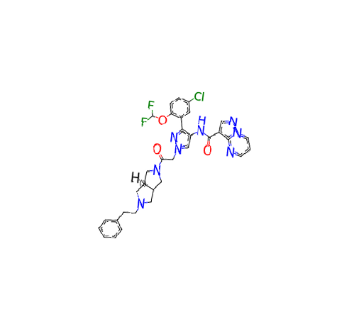 O=C(Nc1cn(CC(=O)N2CC3CN(CCc4ccccc4)C[C@H]3C2)nc1-c1cc(Cl)ccc1OC(F)F)c1cnn2cccnc12